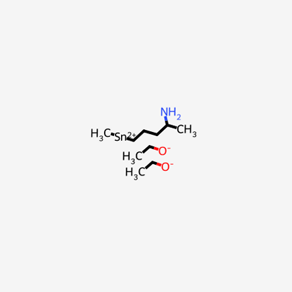 CC[O-].CC[O-].[CH3][Sn+2][CH2]CCC(C)N